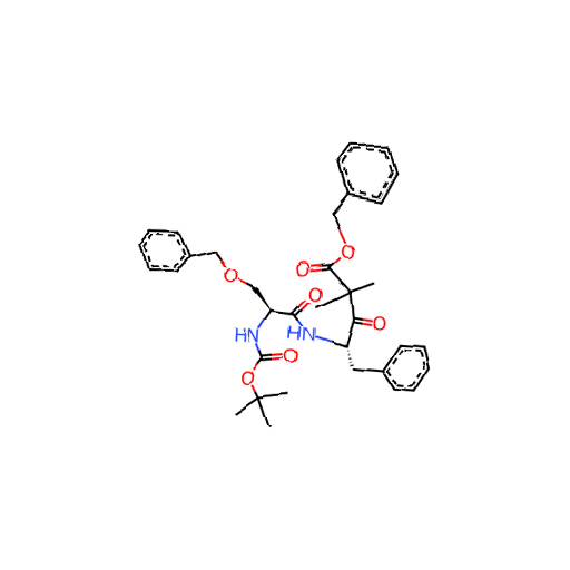 CC(C)(C)OC(=O)N[C@@H](COCc1ccccc1)C(=O)N[C@@H](Cc1ccccc1)C(=O)C(C)(C)C(=O)OCc1ccccc1